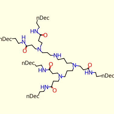 CCCCCCCCCCCCNC(=O)CCN(CCCCNCCCN(CCC(=O)NCCCCCCCCCCCC)CCC(=O)NCCCCCCCCCCCC)CCCN(CCC(=O)NCCCCCCCCCCCC)CCC(=O)NCCCCCCCCCCCC